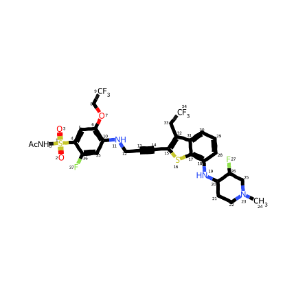 CC(=O)NS(=O)(=O)c1cc(OCC(F)(F)F)c(NCC#Cc2sc3c(NC4CCN(C)CC4F)cccc3c2CC(F)(F)F)cc1F